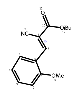 COc1ccccc1/C=C(\C#N)C(=O)OCC(C)C